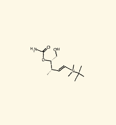 C[C@@H](C=C[Si](C)(C)C(C)(C)C)[C@@H](CO)OC(N)=O